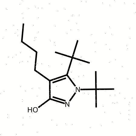 CCCCc1c(O)nn(C(C)(C)C)c1C(C)(C)C